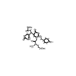 CCCCCCCCCCCCN(C)C(=O)Cn1cc(C(CC(=O)NC)c2cnc(=O)[nH]c2)c(=O)nc1SCc1ccc(F)cc1